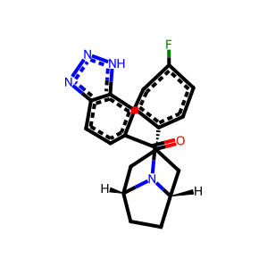 O=C(c1ccc2nn[nH]c2c1)N1[C@@H]2CC[C@H]1C[C@@H](c1ccc(F)cc1)C2